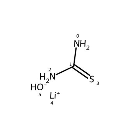 NC(N)=S.[Li+].[OH-]